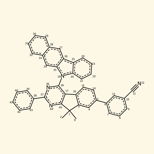 CC1(C)c2cc(-c3cccc(C#N)c3)ccc2-c2c(-n3c4ccccc4c4cc5ccccc5cc43)nc(-c3ccccc3)nc21